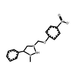 CN1NN(COc2ccc([N+](=O)[O-])cc2)CC1c1ccccc1